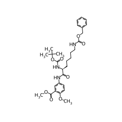 COC(=O)c1cc(NC(=O)[C@H](CCCCCNC(=O)OCc2ccccc2)NC(=O)OC(C)(C)C)ccc1OC